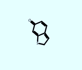 O=C1C=CC2=CCSC2=C1